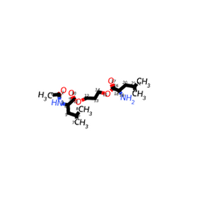 CC(=O)NC(CC(C)C)C(=O)OCCCOC(=O)C(N)CC(C)C